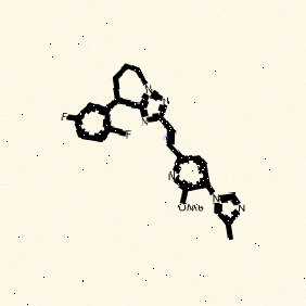 COc1nc(/C=C/c2nc3n(n2)CCCC3c2cc(F)ccc2F)ccc1-n1cnc(C)c1